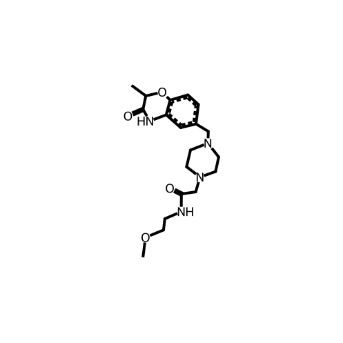 COCCNC(=O)CN1CCN(Cc2ccc3c(c2)NC(=O)C(C)O3)CC1